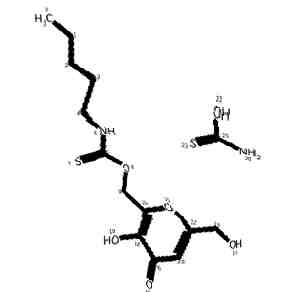 CCCCCNC(=S)OCc1oc(CO)cc(=O)c1O.NC(O)=S